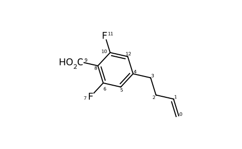 C=CCCc1cc(F)c(C(=O)O)c(F)c1